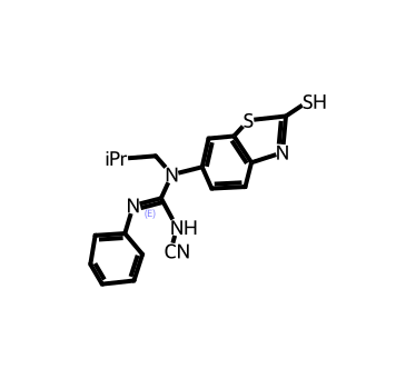 CC(C)CN(/C(=N/c1ccccc1)NC#N)c1ccc2nc(S)sc2c1